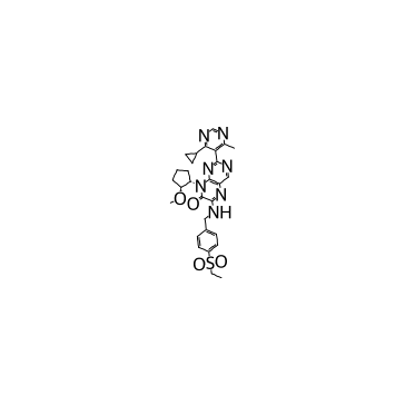 CCS(=O)(=O)c1ccc(CNc2nc3cnc(-c4c(C)ncnc4C4CC4)nc3n([C@H]3CCC[C@@H]3OC)c2=O)cc1